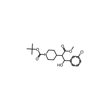 COC(=O)C(C1CCN(C(=O)OC(C)(C)C)CC1)C(O)c1cccc(Cl)c1